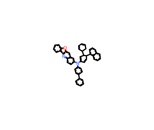 C1=CCC(C2C=C(N(c3ccc(-c4ccccc4)cc3)c3ccc4nc5c(cc4c3)oc3ccccc35)C=CC2c2cccc3ccccc23)C=C1